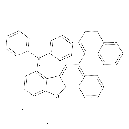 C1=C(c2cc3c(oc4cccc(N(c5ccccc5)c5ccccc5)c43)c3ccccc23)c2ccccc2CC1